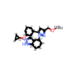 CC(C)(C)OCc1cc(-c2cccc(OC3CC3)c2)n(-c2cccc3[nH]ncc23)n1